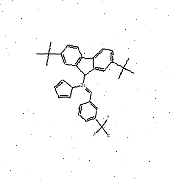 CC(C)(C)c1ccc2c(c1)[CH]([Zr](=[CH]c1cccc(C(F)(F)F)c1)[CH]1C=CC=C1)c1cc(C(C)(C)C)ccc1-2